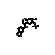 COc1cc2nccc(Nc3ccc4scnc4c3)c2cc1SC(C)(C)C